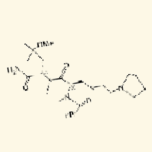 CCCC(=O)N(C)[C@H](CSCCN1CCCC1)C(=O)N(C)[C@@H](CC(C)(C)OC)C(N)=O